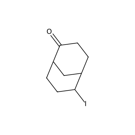 O=C1CCC2CC1CCC2I